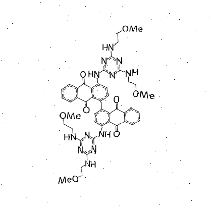 COCCNc1nc(NCCOC)nc(Nc2ccc(-c3ccc(Nc4nc(NCCOC)nc(NCCOC)n4)c4c3C(=O)c3ccccc3C4=O)c3c2C(=O)c2ccccc2C3=O)n1